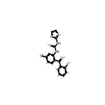 O=C(Nc1nccs1)Nc1cc(Cl)ccc1C(=O)c1ccccc1F